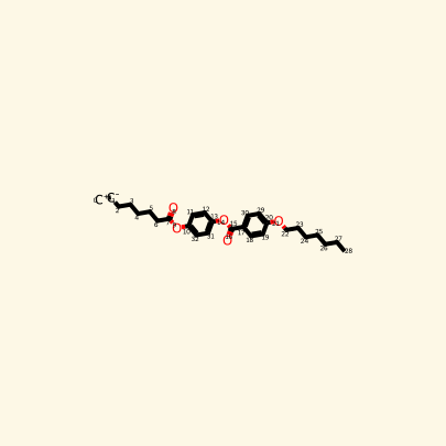 [CH2+][CH-]CCCCCC(=O)Oc1ccc(OC(=O)c2ccc(OCCCCCCC)cc2)cc1